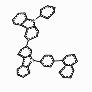 c1ccc(-n2c3ccccc3c3cc(-c4ccc5c6ccccc6n(-c6ccc(-c7cccc8ccccc78)cc6)c5c4)ccc32)cc1